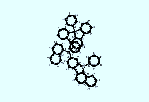 c1ccc(-c2ccccc2C2(c3ccccc3)c3ccccc3-c3ccc(C(c4ccc5c6ccc7ccccc7c6n(-c6ccccc6)c5c4)c4cccc5ccccc45)cc32)cc1